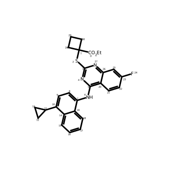 CCOC(=O)C1(Sc2nc(Nc3ccc(C4CC4)c4ccccc34)c3ccc(F)cc3n2)CCC1